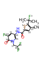 CC(C)(F)c1sc(C(=O)Nc2cc(F)c(=O)n(CC(F)F)c2)cc1C#N